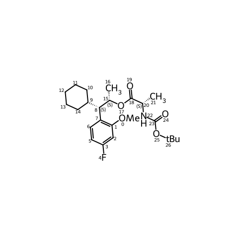 COc1cc(F)ccc1[C@H](C1CCCCC1)[C@H](C)OC(=O)[C@H](C)NC(=O)OC(C)(C)C